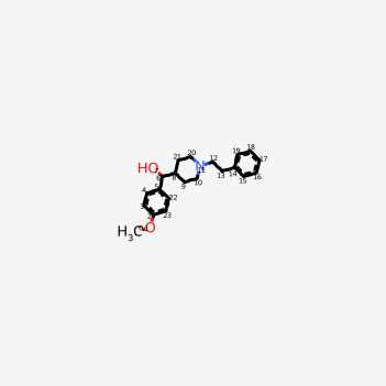 COc1ccc(C(O)C2CCN(CCc3ccccc3)CC2)cc1